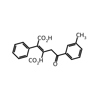 Cc1cccc(C(=O)C/C(C(=O)O)=C(\C(=O)O)c2ccccc2)c1